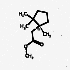 COC(=O)C[C@]1(C)CCCC1(C)C